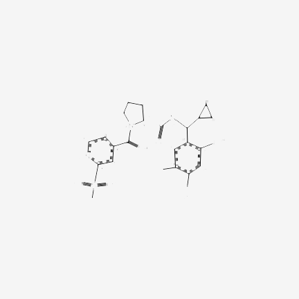 CS(=O)(=O)c1cc(C(=O)N2CCC[C@@H]2C(=O)NC(c2cc(F)c(Cl)cc2F)C2CC2)ccn1